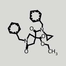 CCOC(=O)C1(C(=O)N(Cc2ccccc2)C2CC2)CC(=O)N(Cc2ccccc2)C1